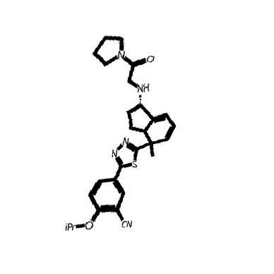 CC(C)Oc1ccc(-c2nnc(C3(C)C=CC=C4C3CC[C@@H]4NCC(=O)N3CCCC3)s2)cc1C#N